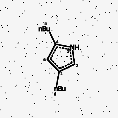 CCCCc1c[nH]c(CCCC)c1